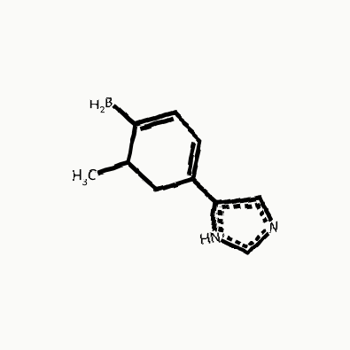 BC1=CC=C(c2cnc[nH]2)CC1C